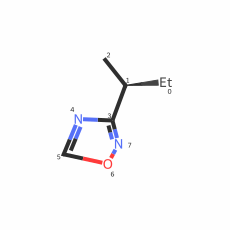 CC[C@H](C)c1ncon1